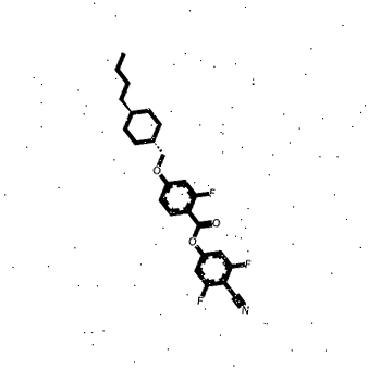 CCCC[C@H]1CC[C@H](COc2ccc(C(=O)Oc3cc(F)c(C#N)c(F)c3)c(F)c2)CC1